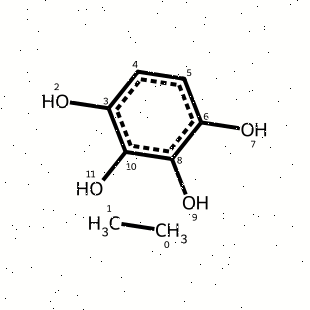 CC.Oc1ccc(O)c(O)c1O